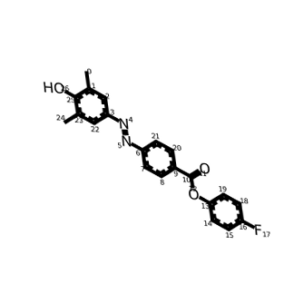 Cc1cc(/N=N/c2ccc(C(=O)Oc3ccc(F)cc3)cc2)cc(C)c1O